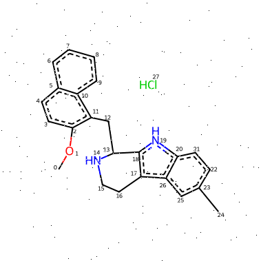 COc1ccc2ccccc2c1CC1NCCc2c1[nH]c1ccc(C)cc21.Cl